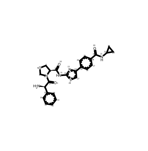 N[C@@H](C(=O)N1COC[C@H]1C(=O)Nc1nc(-c2ccc(C(=O)NC3CC3)cc2)cs1)c1ccccc1